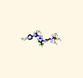 Cc1nn(C2CCN(C)CC2)cc1Nc1ncc(C(F)(F)F)c(NCCCNC(=O)C(C)(C)C)n1